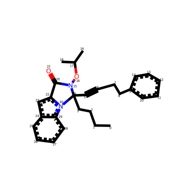 CCCCC1(C#CCCc2ccccc2)N(OC(C)C)C(=O)c2cc3ccccc3n21